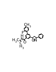 Cc1ccc(-c2cc(C(=O)NC(C)C)cc(C3CC(c4ccccc4)=NO3)c2)c(F)c1